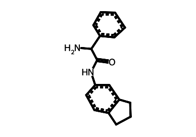 NC(C(=O)Nc1ccc2c(c1)CCC2)c1ccccc1